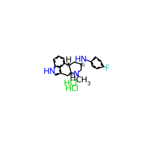 CN1C[C@@H](Nc2ccc(F)cc2)C[C@H]2c3cccc4[nH]cc(c34)C[C@H]21.Cl.Cl